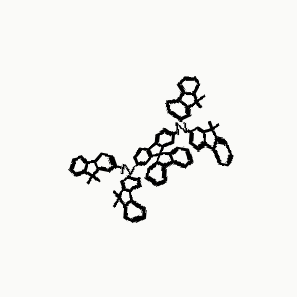 CC1(C)c2ccccc2-c2ccc(N(c3ccc4c(c3)C(C)(C)c3ccccc3-4)c3ccc4c(c3)C3(c5ccccc5-c5ccccc53)c3cc(N(c5ccc6c(c5)C(C)(C)c5ccccc5-6)c5ccc6c(c5)C(C)(C)c5ccccc5-6)ccc3-4)cc21